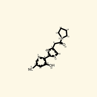 N#Cc1cnc(-c2nc(CC(=O)N3CCCC3)cs2)c(O)c1